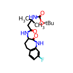 CC(C)(CC(=O)NC1CCc2ccc(F)cc2NC1=O)NC(=O)OC(C)(C)C